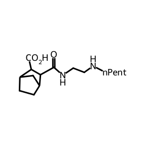 CCCCCNCCNC(=O)C1C2CCC(C2)C1C(=O)O